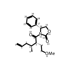 C=CC[C@H](C)[C@@H](CCOC)C(=O)N1C(=O)OC[C@H]1c1ccccc1